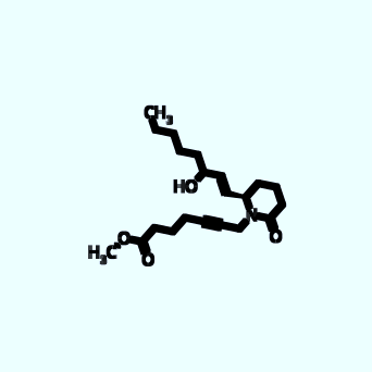 CCCCCC(O)/C=C/[C@H]1CCCC(=O)N1CC#CCCCC(=O)OC